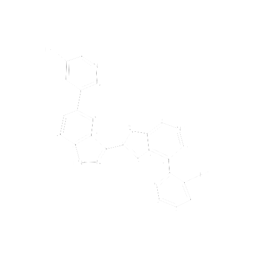 Oc1cncc(-c2ccc3[nH]nc(-c4cc5c(-c6ccccc6F)cncc5[nH]4)c3c2)c1